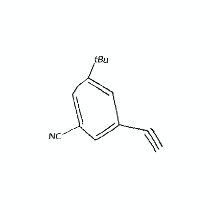 C#Cc1cc(C#N)cc(C(C)(C)C)c1